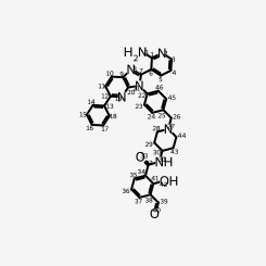 Nc1ncccc1-c1nc2ccc(-c3ccccc3)nc2n1-c1ccc(CN2CCC(NC(=O)c3cccc(C=O)c3O)CC2)cc1